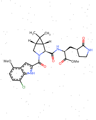 COC(=O)[C@H](C[C@@H]1CCNC1=O)NC(=O)[C@@H]1[C@@H]2[C@H](CN1C(=O)c1cc3c(OC)ccc(Cl)c3[nH]1)C2(C)C